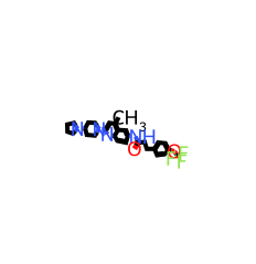 Cc1cc(N2CCC(N3CCCC3)CC2)nc2ccc(NC(=O)CCc3ccc(OC(F)(F)F)cc3)cc12